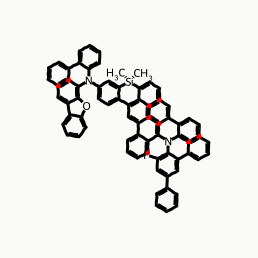 C[Si]1(C)c2cc(N(c3ccccc3-c3ccccc3)c3cccc4c3oc3ccccc34)ccc2-c2cc3c4ccccc4c(N(c4ccccc4-c4ccccc4)c4c(F)cc(-c5ccccc5)cc4-c4ccccc4)cc3c3cccc1c23